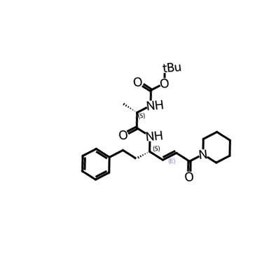 C[C@H](NC(=O)OC(C)(C)C)C(=O)N[C@H](/C=C/C(=O)N1CCCCC1)CCc1ccccc1